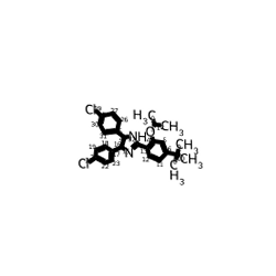 CC(C)Oc1cc(C(C)(C)C)ccc1C1=NC(c2ccc(Cl)cc2)C(c2ccc(Cl)cc2)N1